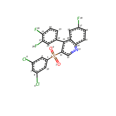 O=S(=O)(c1cc(Cl)cc(Cl)c1)c1cnc2ccc(F)cc2c1-c1ccc(F)c(F)c1